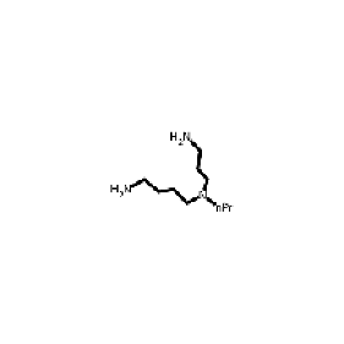 CCCN(CCCN)CCCCN